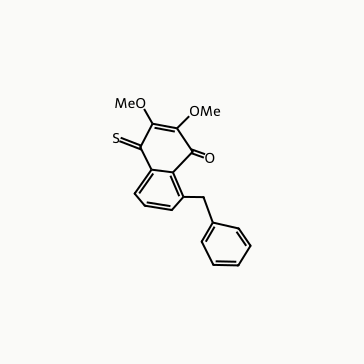 COC1=C(OC)C(=S)c2cccc(Cc3ccccc3)c2C1=O